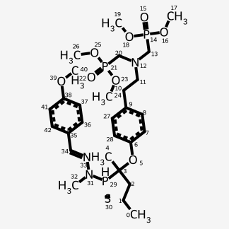 CCCC(C)(Oc1ccc(CCN(CP(=O)(OC)OC)CP(=O)(OC)OC)cc1)[PH](=S)N(C)N=Cc1ccc(OC)cc1